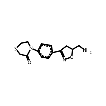 NCC1CC(c2ccc(N3CCSCC3=O)cc2)=NO1